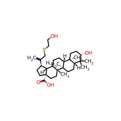 C=C(CSCCO)[C@@H]1CC[C@]2(C(=O)O)CC[C@]3(C)[C@H](CC[C@@H]4[C@@]5(C)CC[C@H](O)C(C)(C)[C@@H]5CC[C@]43C)[C@@H]12